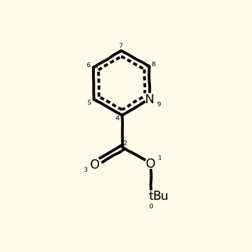 CC(C)(C)OC(=O)c1c[c]ccn1